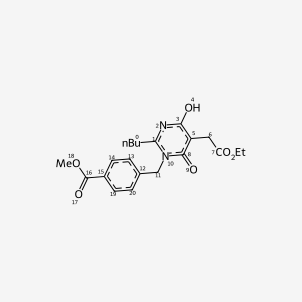 CCCCc1nc(O)c(CC(=O)OCC)c(=O)n1Cc1ccc(C(=O)OC)cc1